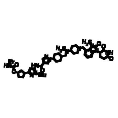 CC(C)NC(=O)O[C@@H]1CC[C@H](c2cc(NC(=O)c3cnn([C@H]4CC[C@H](CN(C)C5CCN(Cc6cccc7c6n(C)c(=O)n7C6CCC(=O)NC6=O)CC5)CC4)c3)n(C(C)(C)C)n2)C1